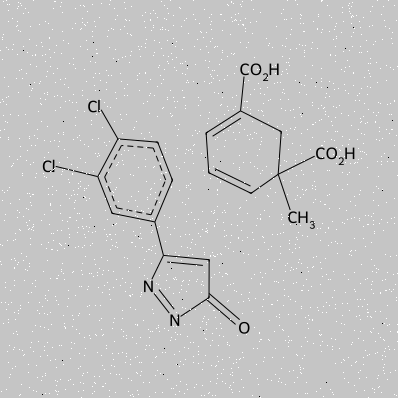 CC1(C(=O)O)C=CC=C(C(=O)O)C1.O=C1C=C(c2ccc(Cl)c(Cl)c2)N=N1